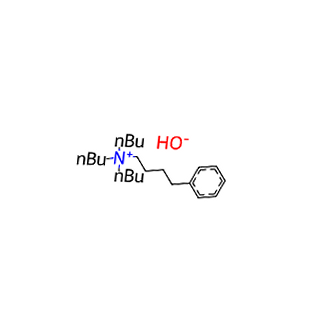 CCCC[N+](CCCC)(CCCC)CCCCc1ccccc1.[OH-]